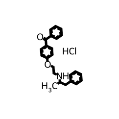 CC(Cc1ccccc1)NCCOc1ccc(C(=O)c2ccccc2)cc1.Cl